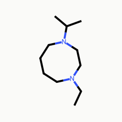 CCN1CCCCN(C(C)C)CC1